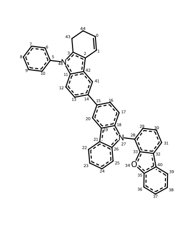 C1=Cc2c(n(-c3ccccc3)c3ccc(-c4ccc5c(c4)c4ccccc4n5-c4cccc5c4oc4ccccc45)cc23)CC1